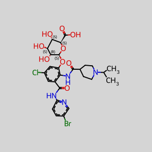 CC(C)N1CCC(C(=O)Nc2c(O[C@@H]3O[C@H](C(=O)O)[C@@H](O)[C@H](O)[C@H]3O)cc(Cl)cc2C(=O)Nc2ccc(Br)cn2)CC1